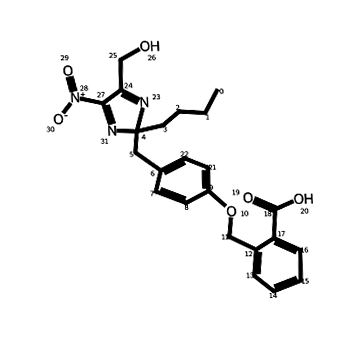 CCCCC1(Cc2ccc(OCc3ccccc3C(=O)O)cc2)N=C(CO)C([N+](=O)[O-])=N1